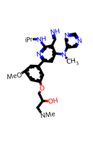 CNCC(O)COc1cc(OC)cc(-c2cc(N(C)c3cncnc3)c(C=N)c(NC(C)C)n2)c1